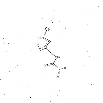 C=C(Br)C(=O)Nc1cccc(C#N)c1